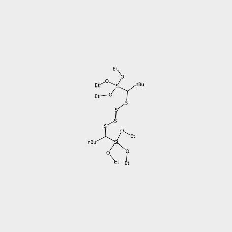 CCCCC(SSSSC(CCCC)[Si](OCC)(OCC)OCC)[Si](OCC)(OCC)OCC